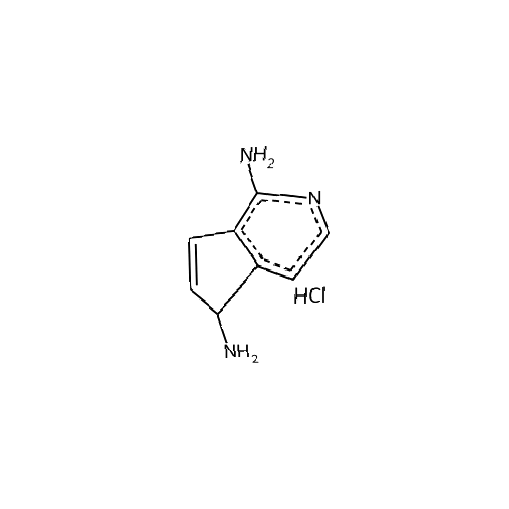 Cl.Nc1nccc2c1C=CC2N